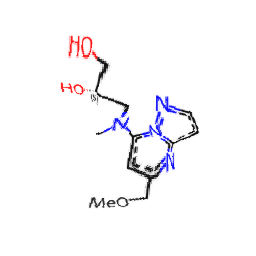 COCc1cc(N(C)C[C@H](O)CO)n2nccc2n1